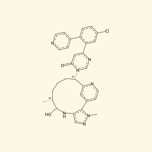 C[C@@H]1CCC[C@H](n2cnc(-c3cc(Cl)ccc3-c3ccncc3)cc2=O)c2cc(ccn2)-c2c(cnn2C)NC1O